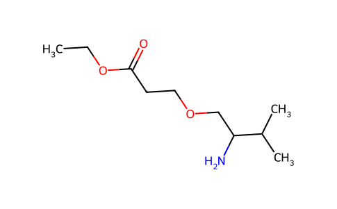 CCOC(=O)CCOCC(N)C(C)C